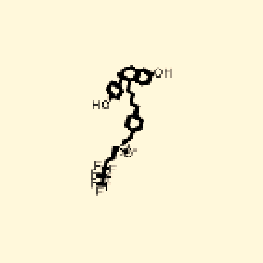 CC1(c2ccc(O)cc2)CCc2cc(O)ccc2C1CCCCc1ccc(CC[S+]([O-])CCCC(F)(F)C(F)(F)C(F)(F)F)cc1